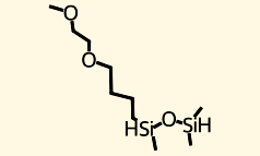 COCCOCCCC[SiH](C)O[SiH](C)C